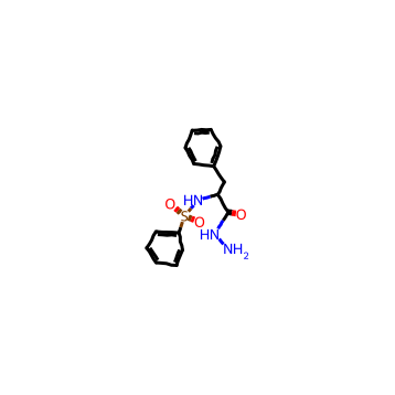 NNC(=O)C(Cc1ccccc1)NS(=O)(=O)c1ccccc1